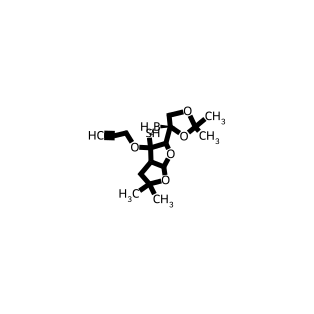 B[C@@]1(C2OC3OC(C)(C)CC3C2(S)OCC#C)COC(C)(C)O1